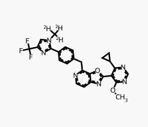 [2H]C([2H])([2H])n1cc(C(F)(F)F)nc1-c1ccc(Cc2nccc3nc(-c4c(OC)ncnc4C4CC4)oc23)cc1